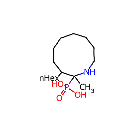 CCCCCCC1CCCCCCCNC1(C)P(=O)(O)O